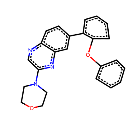 c1ccc(Oc2ccccc2-c2ccc3ncc(N4CCOCC4)nc3c2)cc1